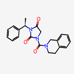 C[C@H](c1ccccc1)N1C(=O)CN(C(=O)N2CCc3ccccc3C2)C1=O